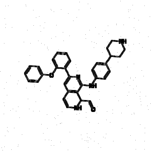 O=CC1NC=Cc2cc(-c3ccccc3Oc3ccccc3)nc(Nc3ccc(C4CCNCC4)cc3)c21